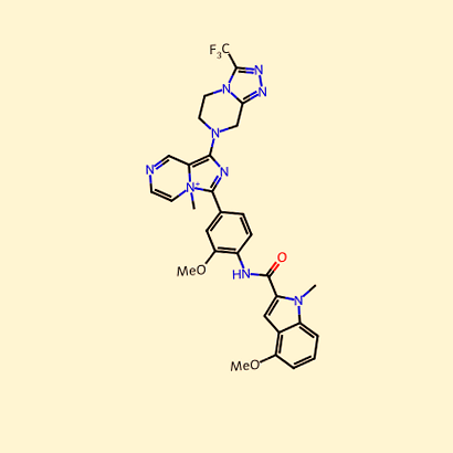 COc1cc(C2=NC(N3CCn4c(nnc4C(F)(F)F)C3)=C3C=NC=C[N+]23C)ccc1NC(=O)c1cc2c(OC)cccc2n1C